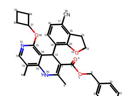 CC1=C(C(=O)OCc2ccccc2)C(c2ccc(C#N)c3c2OCC3)c2c(OC3CCC3)ncc(C)c2N1